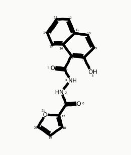 O=C(NNC(=O)c1c(O)ccc2ccccc12)c1ccco1